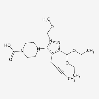 CC#CCc1c(C(OCC)OCC)nn(COC)c1N1CCN(C(=O)O)CC1